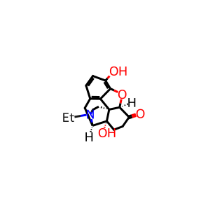 CCN1CC[C@]23c4c5ccc(O)c4O[C@H]2C(=O)CC[C@@]3(O)[C@H]1C5